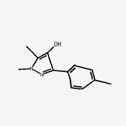 Cc1ccc(-c2nn(C)c(C)c2O)cc1